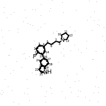 Fc1ccc(C[CH]CCN2CCCC2)cc1-c1ccc2[nH]ccc2c1